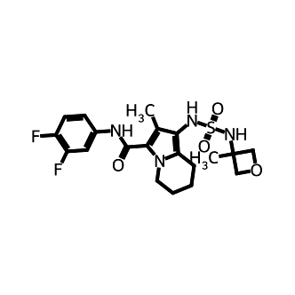 Cc1c(NS(=O)(=O)NC2(C)COC2)c2n(c1C(=O)Nc1ccc(F)c(F)c1)CCCC2